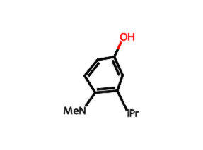 CNc1ccc(O)cc1C(C)C